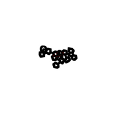 c1ccc(-c2ccccc2-c2c(-c3ccccc3)cccc2N(c2ccc(-c3ccc4oc5ccccc5c4c3)cc2)c2cccc3c2-c2ccccc2C32c3ccccc3-c3ccccc32)cc1